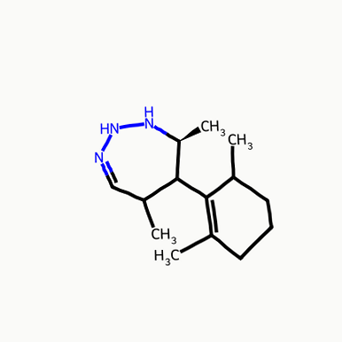 CC1=C(C2C(C)C=NNN[C@H]2C)C(C)CCC1